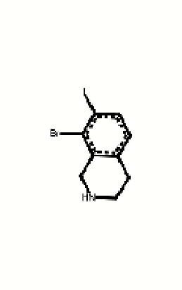 Brc1c(I)ccc2c1CNCC2